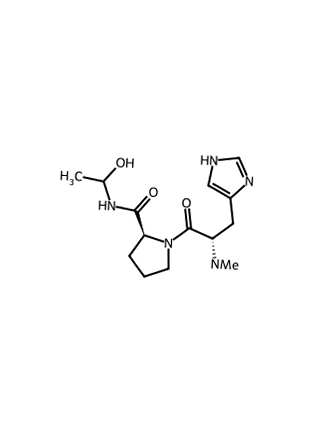 CN[C@@H](Cc1c[nH]cn1)C(=O)N1CCC[C@H]1C(=O)NC(C)O